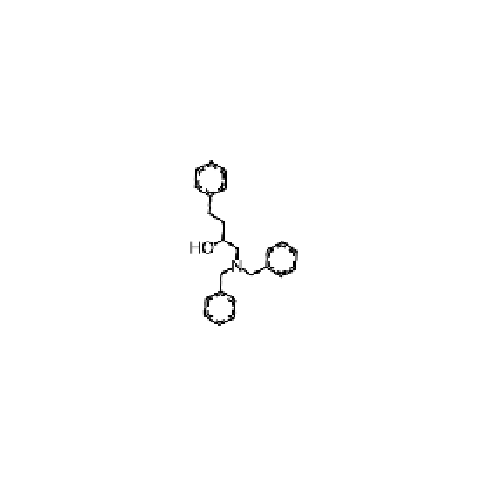 OC(CCc1ccccc1)CN(Cc1ccccc1)Cc1ccccc1